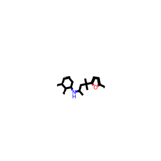 Cc1ccc(C(C)(C)CC(C)NC2CCCC(C)C2C)o1